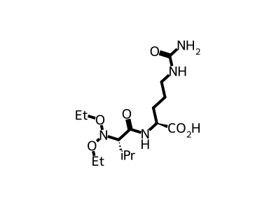 CCON(OCC)[C@H](C(=O)N[C@@H](CCCNC(N)=O)C(=O)O)C(C)C